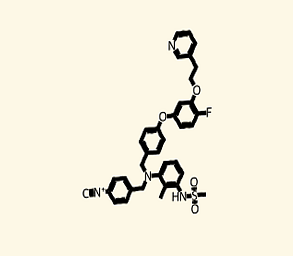 [C-]#[N+]c1ccc(CN(Cc2ccc(Oc3ccc(F)c(OCCc4cccnc4)c3)cc2)c2cccc(NS(C)(=O)=O)c2C)cc1